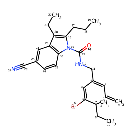 C=C/C=C(\C=C(\Br)C(C)CC)CNC(=O)n1c(CCC)c(CC)c2cc(C#N)ccc21